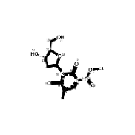 CCO[PH](=O)n1cc(C)c(=O)n(C2C[C@H](O)[C@@H](CO)O2)c1=O